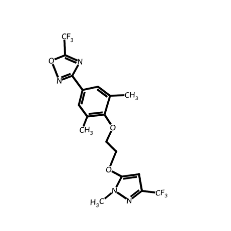 Cc1cc(-c2noc(C(F)(F)F)n2)cc(C)c1OCCOc1cc(C(F)(F)F)nn1C